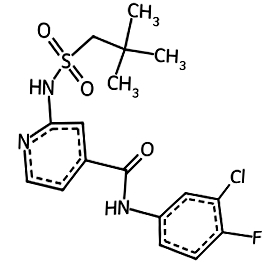 CC(C)(C)CS(=O)(=O)Nc1cc(C(=O)Nc2ccc(F)c(Cl)c2)ccn1